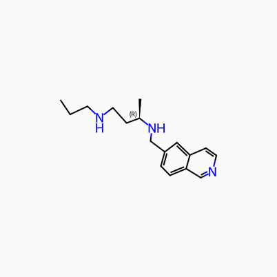 CCCNCC[C@@H](C)NCc1ccc2cnccc2c1